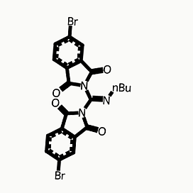 CCCCN=C(N1C(=O)c2ccc(Br)cc2C1=O)N1C(=O)c2ccc(Br)cc2C1=O